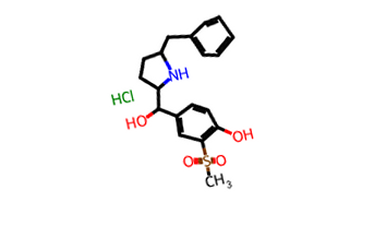 CS(=O)(=O)c1cc(C(O)C2CCC(Cc3ccccc3)N2)ccc1O.Cl